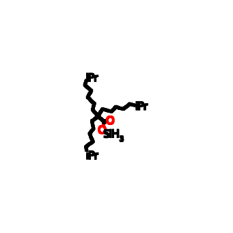 CC(C)CCCCCC(CCCCCC(C)C)(CCCCCC(C)C)C(=O)O[SiH3]